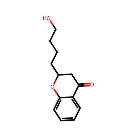 O=C1CC(CCCCO)Oc2ccccc21